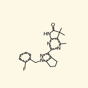 Cc1nc(-c2nn(Cc3ccccc3F)c3c2CCC3)nc2c1C(C)(C)C(=O)N2